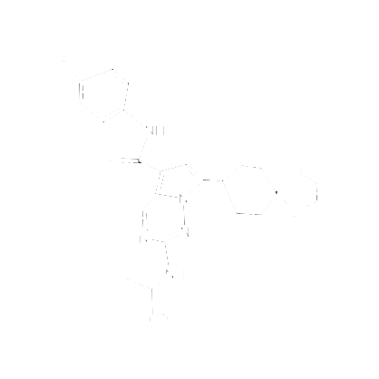 CCCCCC(C)Nc1ncc2c(C(=O)Nc3ccc(F)cc3)cc(C3CCC4(CC3)OCCO4)n2n1